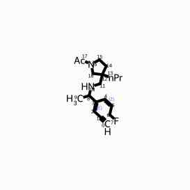 C#C/C=C(\C=C/CF)C(C)NCC1(CCC)CCN(C(C)=O)C1